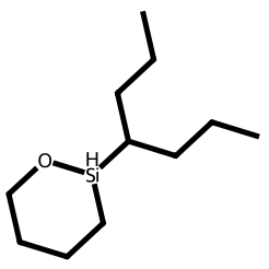 CCCC(CCC)[SiH]1CCCCO1